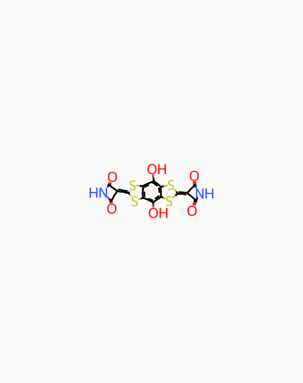 O=C1NC(=O)C1=C1Sc2c(O)c3c(c(O)c2S1)SC(=C1C(=O)NC1=O)S3